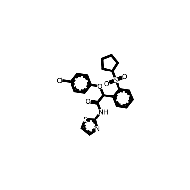 O=C(Nc1nccs1)C(Oc1ccc(Cl)cc1)c1ccccc1S(=O)(=O)C1CCCC1